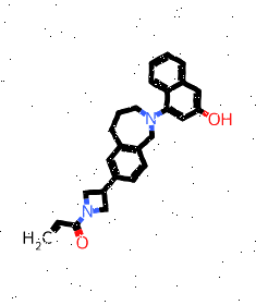 C=CC(=O)N1CC(c2ccc3c(c2)CCCN(c2cc(O)cc4ccccc24)C3)C1